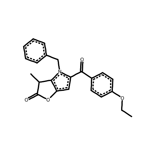 CCOc1ccc(C(=O)c2cc3c(n2Cc2ccccc2)C(C)C(=O)O3)cc1